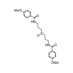 COc1ccc(C(=O)NCCC[S+]([O-])CCCNC(=O)c2ccc(OC)cc2)cc1